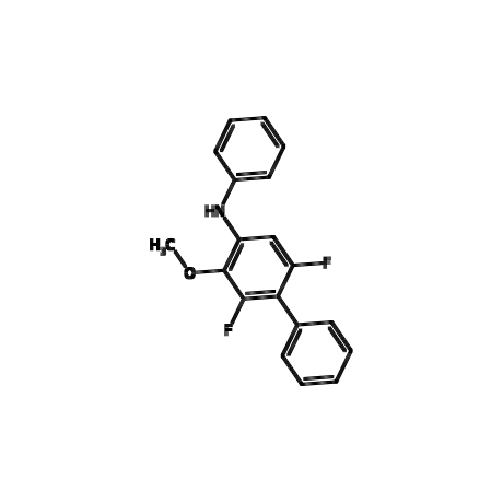 COc1c(Nc2ccccc2)cc(F)c(-c2ccccc2)c1F